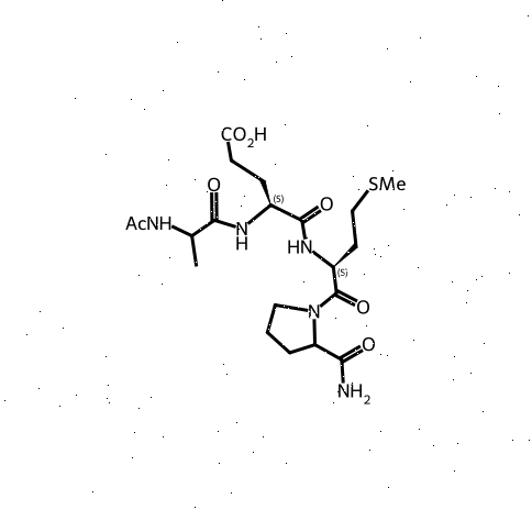 CSCC[C@H](NC(=O)[C@H](CCC(=O)O)NC(=O)C(C)NC(C)=O)C(=O)N1CCCC1C(N)=O